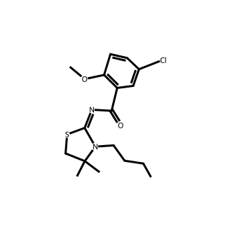 CCCCN1C(=NC(=O)c2cc(Cl)ccc2OC)SCC1(C)C